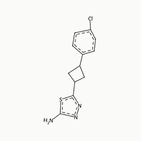 Nc1nnc(C2CC(c3ccc(Cl)cc3)C2)s1